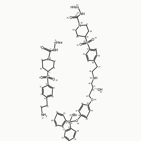 CCCCCCNC(=O)N1CCC(S(=O)(=O)c2ccc(CCN)cc2)CC1.CCCCCCNC(=O)N1CCC(S(=O)(=O)c2ccc(CCNC[C@H](O)COc3ccc(O[Si](c4ccccc4)(c4ccccc4)C(C)(C)C)cc3)cc2)CC1